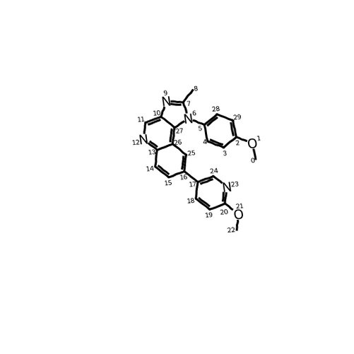 COc1ccc(-n2c(C)nc3cnc4ccc(-c5ccc(OC)nc5)cc4c32)cc1